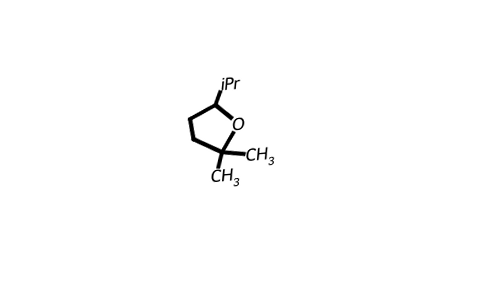 CC(C)C1CCC(C)(C)O1